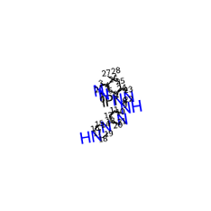 CC(C)n1ncc2c1-c1nc(Nc3ccc(N4CCNCC4)cn3)ncc1CC2(C)C